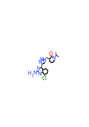 CC(C)n1cccc(Cn2cc(-c3nc(N)nc4c(Cl)cccc34)nn2)c1=O